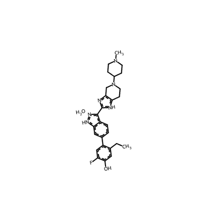 CCc1cc(O)c(F)cc1-c1ccc2c(-c3nc4c([nH]3)CCN(C3CCN(C)CC3)C4)n[nH]c2c1.O